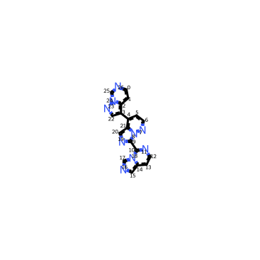 c1cc2c(-c3ccnn4c(-c5nccc6cncn56)ncc34)cnn2cn1